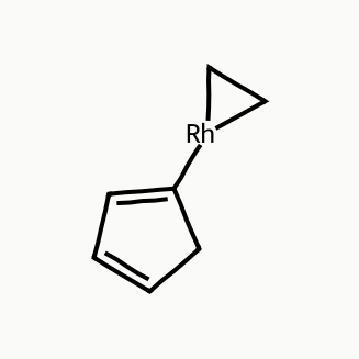 C1=CC[C]([Rh]2[CH2][CH2]2)=C1